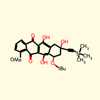 COc1cccc2c1C(=O)c1c(O)c3c(c(O)c1C2=O)C[C@](O)(C#C[Si](C)(C)C)C[C@H]3OC(C)(C)C